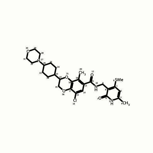 CSc1cc(C)[nH]c(=O)c1CNC(=O)c1cc(Cl)c2c(c1C)OC(C1CCC(N3CCOCC3)CC1)CO2